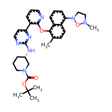 Cc1ccc2c(N3CCN(C)O3)cccc2c1Oc1ncccc1-c1ccnc(N[C@H]2CCCN(C(=O)OC(C)(C)C)C2)n1